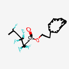 CC(F)C(F)(F)[C](F)(F)[Sn](=[O])[O]CCc1ccccc1